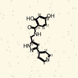 O=C(NCc1cc(-c2ccncc2)n[nH]1)c1ccc(O)cc1O